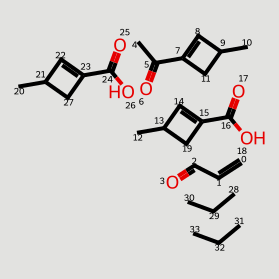 C=CC=O.CC(=O)C1=CC(C)C1.CC1C=C(C(=O)O)C1.CC1C=C(C(=O)O)C1.CCC.CCC